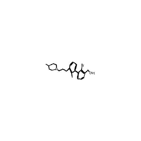 Cc1c(CCCN2CCC(C)CC2)cccc1-c1cccc(CO)c1Br